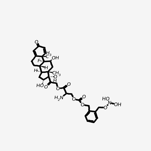 C[C@]12C=CC(=O)C=C1CC[C@H]1[C@@H]3C[C@@H](O)[C@](O)(C(=O)COC(=O)C(N)COC(=O)OCc4ccccc4CON(O)O)[C@@]3(C)C[C@H](O)[C@@]12F